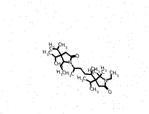 CCC1N(C(C)CCC(C)C2(C(C)C)CC(=O)N(CC)C2(C)C)C(=O)CC1(C(C)C)C(C)C